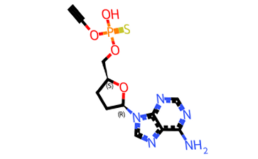 C#COP(O)(=S)OC[C@@H]1CC[C@H](n2cnc3c(N)ncnc32)O1